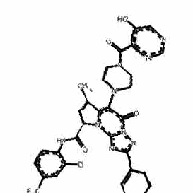 C[C@@H]1C[C@H](C(=O)Nc2ccc(C(F)(F)F)cc2Cl)n2c1c(N1CCN(C(=O)c3ncncc3O)CC1)c(=O)n1nc(C3=CCOCC3)nc21